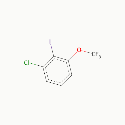 FC(F)(F)Oc1cccc(Cl)c1I